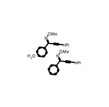 CCCC#CC(=NOC)c1ccccc1.CCCC#CC(=NOC)c1ccccc1.O